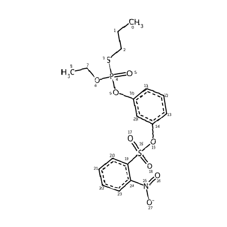 CCCSP(=O)(OCC)Oc1cccc(OS(=O)(=O)c2ccccc2[N+](=O)[O-])c1